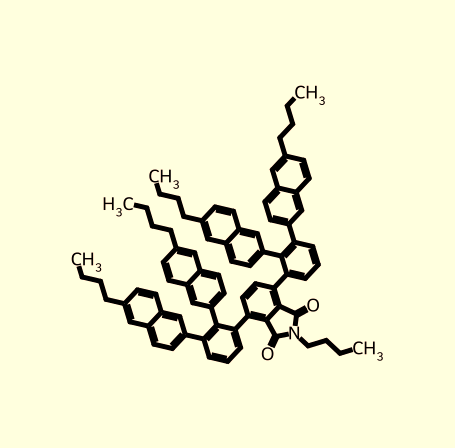 CCCCc1ccc2cc(-c3cccc(-c4ccc(-c5cccc(-c6ccc7cc(CCCC)ccc7c6)c5-c5ccc6cc(CCCC)ccc6c5)c5c4C(=O)N(CCCC)C5=O)c3-c3ccc4cc(CCCC)ccc4c3)ccc2c1